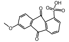 COc1ccc2c(c1)C(=O)c1cccc(S(=O)(=O)O)c1C2=O